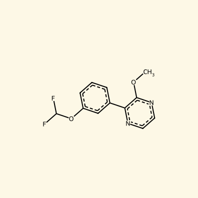 COc1nccnc1-c1cccc(OC(F)F)c1